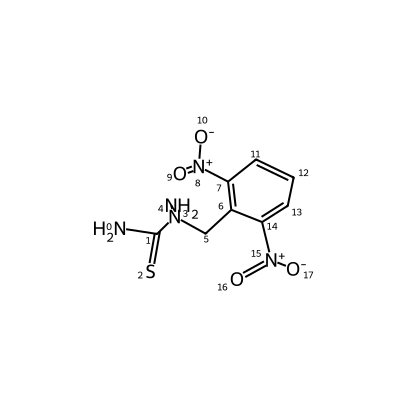 NC(=S)N(N)Cc1c([N+](=O)[O-])cccc1[N+](=O)[O-]